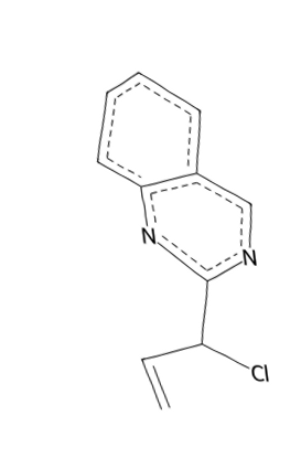 C=CC(Cl)c1ncc2ccccc2n1